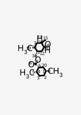 C[C@H]1CC[C@H](C)[C@H](C(=O)OC[C@H]2C[C@H]3OC[C@H]3C[C@H]2C)C1